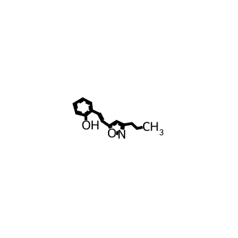 CCCc1cc(C=Cc2ccccc2O)on1